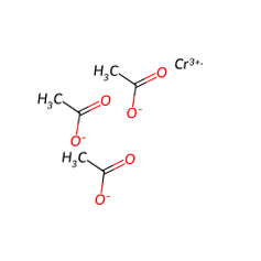 CC(=O)[O-].CC(=O)[O-].CC(=O)[O-].[Cr+3]